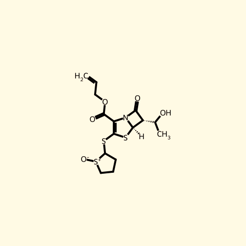 C=CCOC(=O)C1=C(SC2CCC[S+]2[O-])S[C@@H]2[C@@H](C(C)O)C(=O)N12